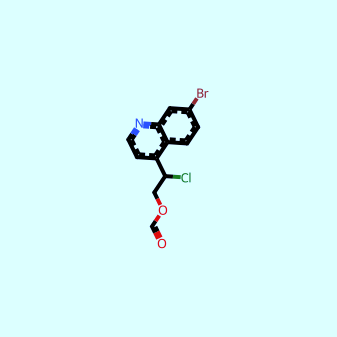 O=COCC(Cl)c1ccnc2cc(Br)ccc12